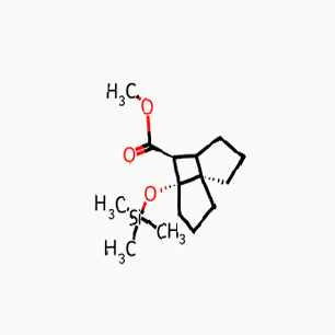 COC(=O)[C@H]1C2CCC[C@@]23CCC[C@@]13O[Si](C)(C)C